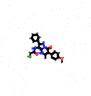 COc1ccc(-c2c(C)[nH]c3c(NC(=O)CCl)c(-c4ccccc4)nn3c2=O)cc1